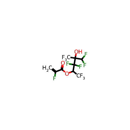 C=C(F)C(=O)OC(C(F)(F)F)C(F)(F)C(O)(C(F)F)C(F)(F)F